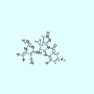 N#Cc1c(NC(c2nc3c(F)cc(F)cc3c(=O)n2-c2cc[nH]n2)C2CC2)nc(N)nc1C(F)F